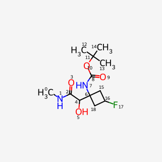 CNC(=O)C(O)C1(NC(=O)OC(C)(C)C)CC(F)C1